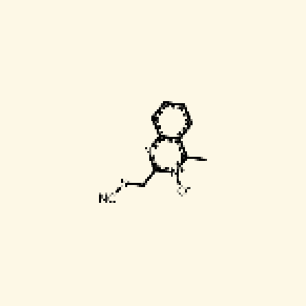 Cc1c2ccccc2nc(CSC#N)[n+]1[O-]